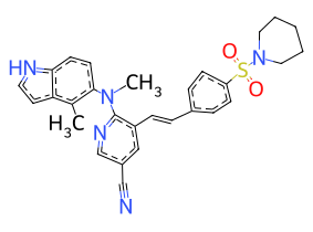 Cc1c(N(C)c2ncc(C#N)cc2C=Cc2ccc(S(=O)(=O)N3CCCCC3)cc2)ccc2[nH]ccc12